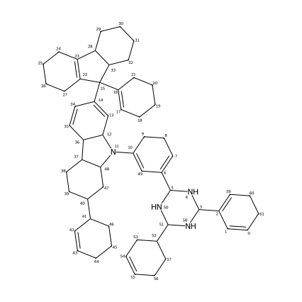 C1=CC(C2NC(C3=CCCC(N4C5C=C(C6(C7=CCCCC7)C7=C(CCCC7)C7CCCCC76)C=CC5C5CCC(C6C=CCCC6)CC54)=C3)NC(C3CC=CCC3)N2)=CCC1